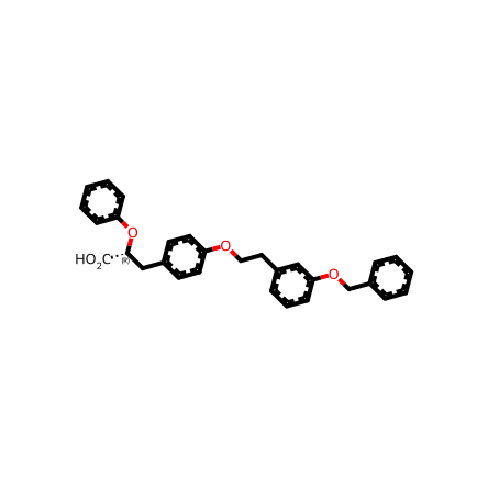 O=C(O)[C@@H](Cc1ccc(OCCc2cccc(OCc3ccccc3)c2)cc1)Oc1ccccc1